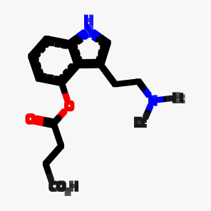 CCN(CC)CCc1c[nH]c2cccc(OC(=O)CCC(=O)O)c12